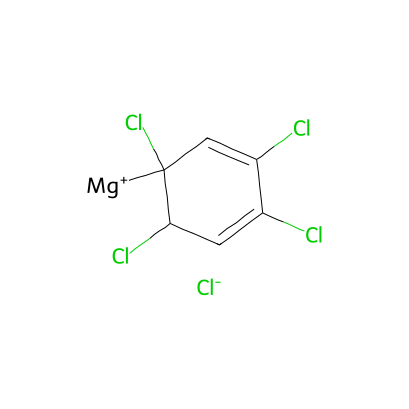 [Cl-].[Mg+][C]1(Cl)C=C(Cl)C(Cl)=CC1Cl